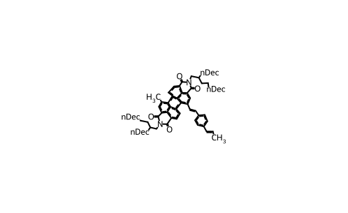 C/C=C/c1ccc(/C=C/c2cc3c4c(ccc5c6c(C)cc7c8c(ccc(c2c45)c86)C(=O)N(CC(CCCCCCCCCC)CCCCCCCCCCCC)C7=O)C(=O)N(CC(CCCCCCCCCC)CCCCCCCCCCCC)C3=O)cc1